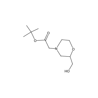 CC(C)(C)OC(=O)CN1CCOC(CO)C1